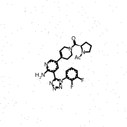 CC(=O)N1CCC[C@@H]1C(=O)N1CC=C(c2cnc(N)c(-c3nnnn3-c3cccc(F)c3F)c2)CC1